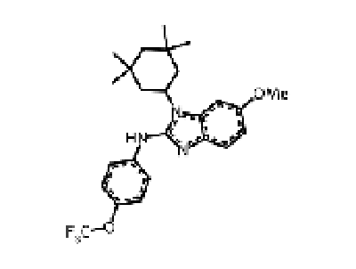 COc1ccc2nc(Nc3ccc(OC(F)(F)F)cc3)n(C3CC(C)(C)CC(C)(C)C3)c2c1